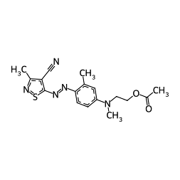 CC(=O)OCCN(C)c1ccc(N=Nc2snc(C)c2C#N)c(C)c1